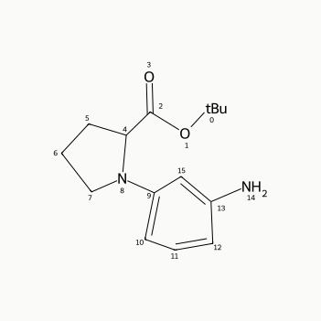 CC(C)(C)OC(=O)C1CCCN1c1cccc(N)c1